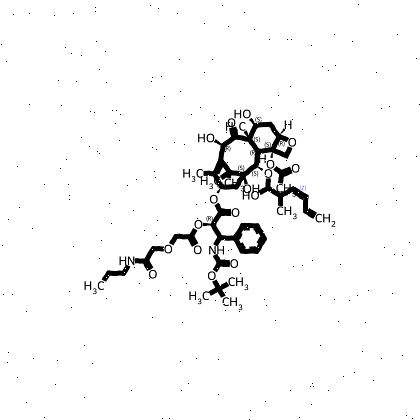 C=C/C=C\C(C)C(O)O[C@H]1[C@@H]2[C@]3(OC(C)=O)CO[C@@H]3C[C@H](O)[C@@]2(C)C(=O)[C@H](O)C2=C(C)[C@@H](OC(=O)[C@H](OC(=O)COCC(=O)NCCC)C(NC(=O)OC(C)(C)C)c3ccccc3)C[C@]1(O)C2(C)C